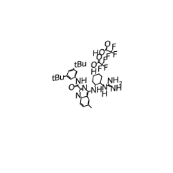 Cc1ccc2nc(C(=O)Nc3cc(C(C)(C)C)cc(C(C)(C)C)c3)nc(NC3CCCCC3NC(=N)N)c2c1.O=C(O)C(F)(F)F.O=C(O)C(F)(F)F